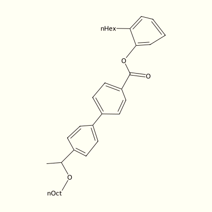 CCCCCCCCOC(C)c1ccc(-c2ccc(C(=O)Oc3ccccc3CCCCCC)cc2)cc1